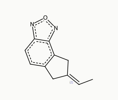 C/C=C1/Cc2ccc3nonc3c2C1